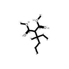 CCCC(C)(CC)C(C(=O)OC)C(=O)OC